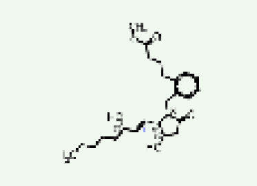 CCCCC[C@H](O)/C=C/[C@H]1[C@H](O)CC(=O)[C@@H]1Cc1ccccc1CCCC(=O)OC